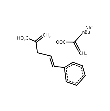 C=C(CC=Cc1ccccc1)C(=O)O.C=C(CCCC)C(=O)[O-].[Na+]